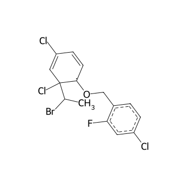 CC(Br)C1(Cl)C=C(Cl)C=C[C]1OCc1ccc(Cl)cc1F